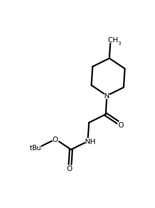 CC1CCN(C(=O)CNC(=O)OC(C)(C)C)CC1